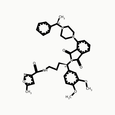 COc1ccc([C@@H](CCCNC(=O)c2cc(C)on2)N2C(=O)c3cccc(N4CCN([C@H](C)c5ccccc5)CC4)c3C2=O)cc1OC